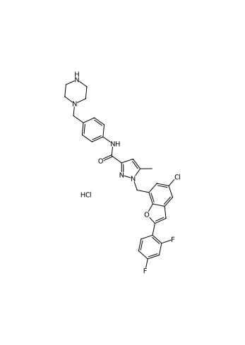 Cc1cc(C(=O)Nc2ccc(CN3CCNCC3)cc2)nn1Cc1cc(Cl)cc2cc(-c3ccc(F)cc3F)oc12.Cl